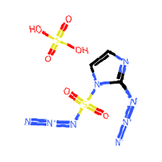 O=S(=O)(O)O.[N-]=[N+]=Nc1nccn1S(=O)(=O)N=[N+]=[N-]